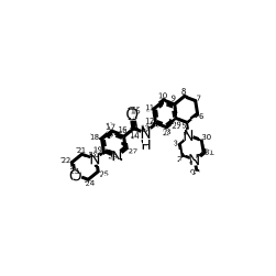 CN1CCN(C2CCCc3ccc(NC(=O)c4ccc(N5CCOCC5)nc4)cc32)CC1